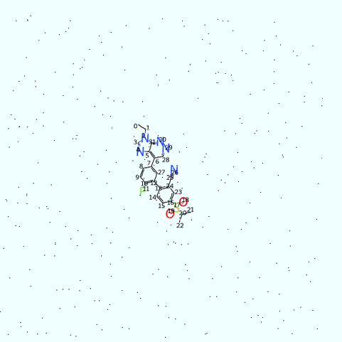 CCn1cnc2c(-c3ccc(F)c(-c4ccc(S(=O)(=O)C(C)C)cc4C#N)c3)cnnc21